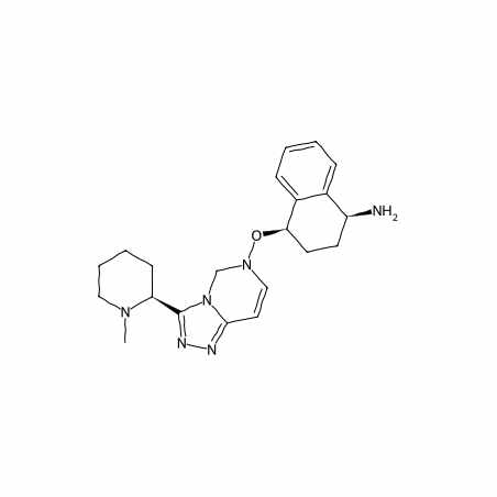 CN1CCCC[C@H]1c1nnc2n1CN(O[C@@H]1CC[C@H](N)c3ccccc31)C=C2